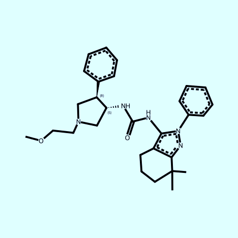 COCCN1C[C@@H](NC(=O)Nc2c3c(nn2-c2ccccc2)C(C)(C)CCC3)[C@H](c2ccccc2)C1